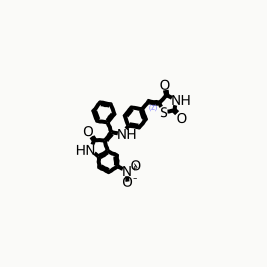 O=C1NC(=O)/C(=C/c2ccc(NC(=C3C(=O)Nc4ccc([N+](=O)[O-])cc43)c3ccccc3)cc2)S1